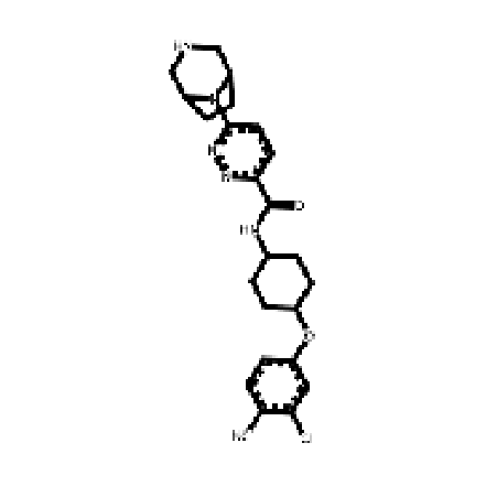 N#Cc1ccc(OC2CCC(NC(=O)c3ccc(N4C5CCC4CNC5)nn3)CC2)cc1Cl